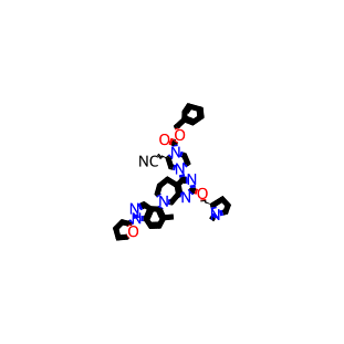 Cc1ccc2c(cnn2C2CCCCO2)c1N1CCCc2c(nc(OC[C@@H]3CCCN3C)nc2N2CCN(C(=O)OCc3ccccc3)[C@@H](CC#N)C2)C1